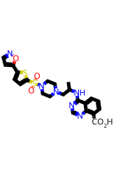 CC(CN1CCN(S(=O)(=O)c2ccc(-c3ccno3)s2)CC1)Nc1ncnc2c(C(=O)O)cccc12